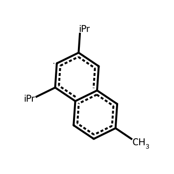 Cc1ccc2c(C(C)C)[c]c(C(C)C)cc2c1